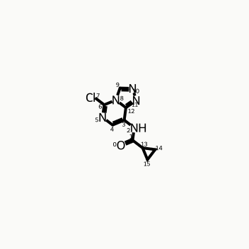 O=C(Nc1cnc(Cl)n2cnnc12)C1CC1